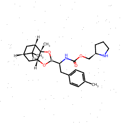 Cc1ccc(CC(NC(=O)OC[C@H]2CCCN2)B2O[C@@H]3C[C@@H]4C[C@@H](C4(C)C)[C@]3(C)O2)cc1